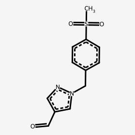 CS(=O)(=O)c1ccc(Cn2cc(C=O)cn2)cc1